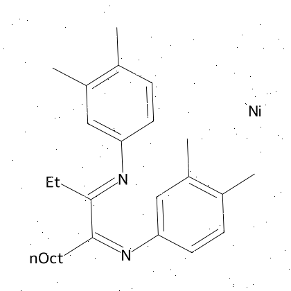 CCCCCCCCC(=Nc1ccc(C)c(C)c1)C(CC)=Nc1ccc(C)c(C)c1.[Ni]